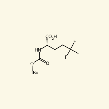 CC(F)(F)CC[C@H](NC(=O)OC(C)(C)C)C(=O)O